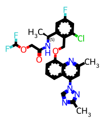 Cc1cc(-n2cnc(C)n2)c2cccc(OCc3c(Cl)cc(F)cc3[C@H](C)NC(=O)COC(F)F)c2n1